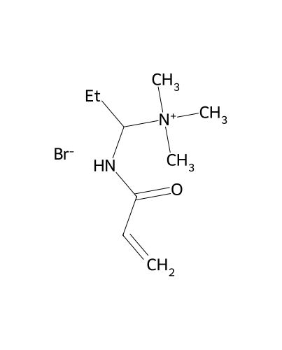 C=CC(=O)NC(CC)[N+](C)(C)C.[Br-]